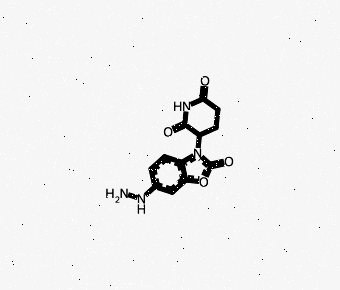 NNc1ccc2c(c1)oc(=O)n2C1CCC(=O)NC1=O